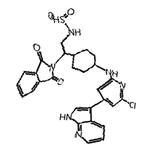 O=C1c2ccccc2C(=O)N1C(CN[SH](=O)=O)C1CCC(Nc2cc(-c3c[nH]c4ncccc34)cc(Cl)n2)CC1